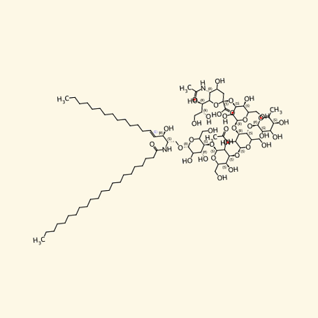 CCCCCCCCCCCCC/C=C/[C@@H](O)[C@H](CO[C@@H]1OC(CO)[C@@H](O[C@@H]2OC(CO)[C@H](O)[C@H](O[C@@H]3OC(CO)[C@@H](O[C@H]4OC(C)[C@@H](O)C(O)[C@@H]4O)[C@H](O[C@@H]4OC(CO)[C@H](O)[C@H](O[C@]5(C(=O)O)CC(O)[C@@H](NC(C)=O)C([C@H](O)[C@H](O)CO)O5)C4O)C3NC(C)=O)C2O)[C@H](O)C1O)NC(=O)CCCCCCCCCCCCCCCCCCCCC